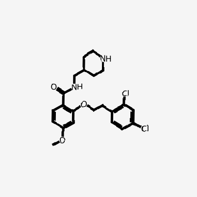 COc1ccc(C(=O)NCC2CCNCC2)c(OCCc2ccc(Cl)cc2Cl)c1